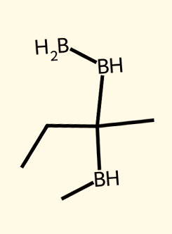 BBC(C)(BC)CC